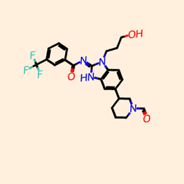 O=CN1CCCC(c2ccc3c(c2)[nH]/c(=N\C(=O)c2cccc(C(F)(F)F)c2)n3CCCO)C1